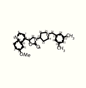 COc1ccc2nccc(C3CN(C4CCN(Cc5cc(C)cc(C)c5)CC4)C(=O)O3)c2c1